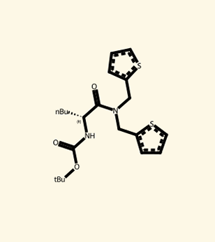 [CH2]CCC[C@@H](NC(=O)OC(C)(C)C)C(=O)N(Cc1cccs1)Cc1cccs1